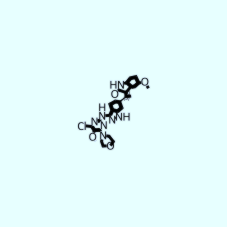 COc1ccc2c(c1)[C@]1(C[C@H]1c1ccc3c(Nc4nc(Cl)c(OC)c(N5CCOCC5)n4)n[nH]c3c1)C(=O)N2